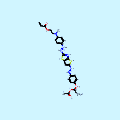 C=CC(=O)OCCN(CC)c1ccc(/N=N/c2nc3sc(/N=N/c4ccc(OC(CCCCCCC)OC(=O)CC)cc4)cc3s2)cc1